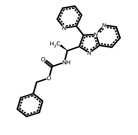 C[C@H](NC(=O)OCc1ccccc1)c1nc2cccnn2c1-c1ccccn1